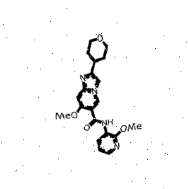 COc1cc2nc(C3CCOCC3)cn2cc1C(=O)Nc1cccnc1OC